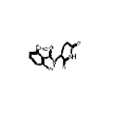 CC(C)c1cccc(C=O)c1C(=O)N(C)C1CCC(=O)NC1=O